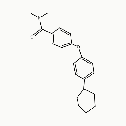 CN(C)C(=O)c1ccc(Oc2ccc(C3CCCCC3)cc2)cc1